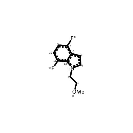 COCCn1ccc2c(F)ccc(F)c21